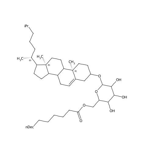 CCCCCCCCCCCCCCCC(=O)OCC1OC(OC2CC[C@@]3(C)C(=CCC4C5CCC([C@H](C)CCCC(C)C)[C@@]5(C)CCC43)C2)C(O)C(O)C1O